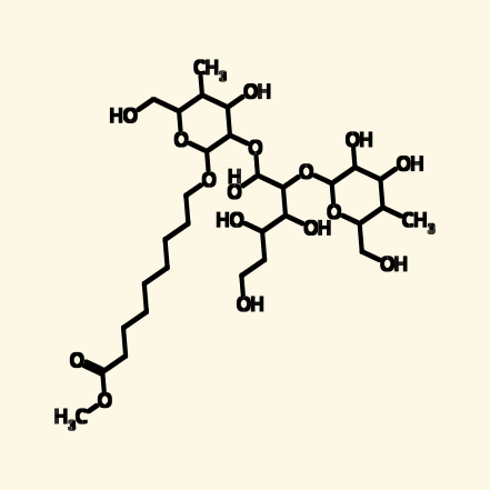 COC(=O)CCCCCCCCOC1OC(CO)C(C)C(O)C1OC(O)C(OC1OC(CO)C(C)C(O)C1O)C(O)C(O)CCO